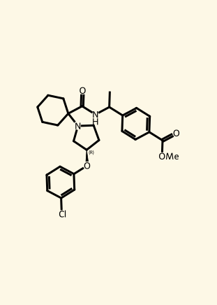 COC(=O)c1ccc(C(C)NC(=O)C2(N3CC[C@@H](Oc4cccc(Cl)c4)C3)CCCCC2)cc1